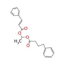 CC(OC(=O)/C=C/c1ccccc1)OC(=O)CCCc1ccccc1